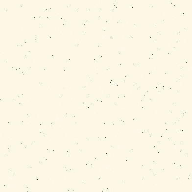 COc1ccc(CC(=O)N(Cc2ccc(C)cc2)C2CCN(Cc3ccc(O)cc3)CC2)cc1